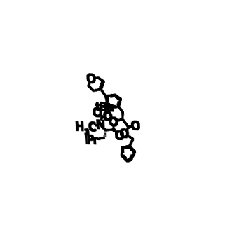 CC(C)C[C@@H](C(=O)OC(Cc1ccc(C2=CCOCC2)cc1)C(=O)OCc1ccccc1)N(C)C(=O)OC(C)(C)C